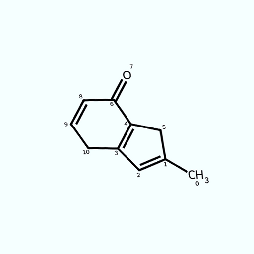 CC1=CC2=C(C1)C(=O)C=CC2